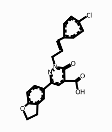 O=C(O)c1cc(-c2ccc3c(c2)CCO3)nn(CC=Cc2ccc(Cl)cc2)c1=O